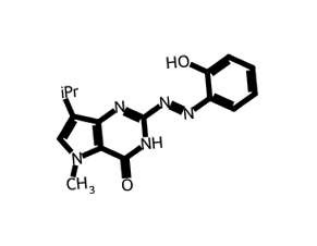 CC(C)c1cn(C)c2c(=O)[nH]c(/N=N/c3ccccc3O)nc12